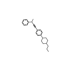 CCCC1CCC(c2ccc(C#CC(C)c3ccccc3)cc2)CC1